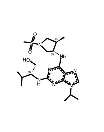 CC(C)[C@H](CO)Nc1nc(N[C@@H]2CN(S(C)(=O)=O)C[C@H]2C)c2ncn(C(C)C)c2n1